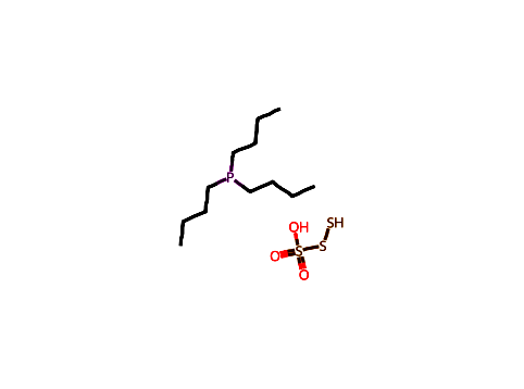 CCCCP(CCCC)CCCC.O=S(=O)(O)SS